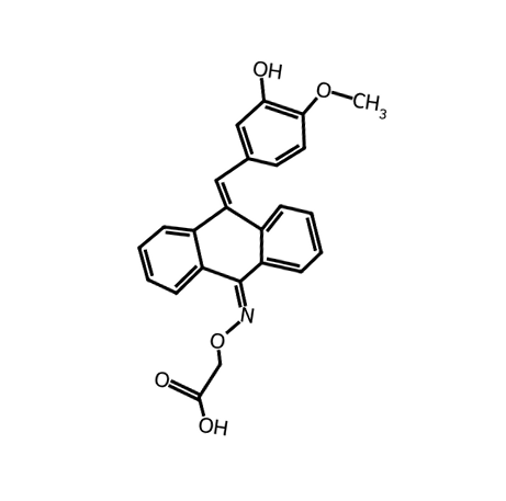 COc1ccc(C=C2c3ccccc3C(=NOCC(=O)O)c3ccccc32)cc1O